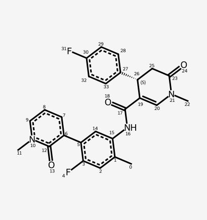 Cc1cc(F)c(-c2cccn(C)c2=O)cc1NC(=O)C1=CN(C)C(=O)C[C@H]1c1ccc(F)cc1